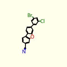 N#Cc1ccc2c(c1)oc1cc(-c3cc(Cl)cc(Br)c3)ccc12